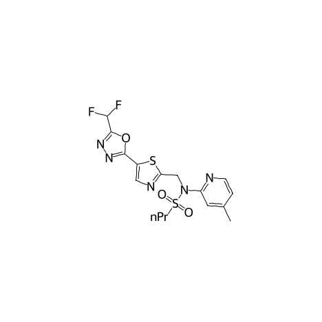 CCCS(=O)(=O)N(Cc1ncc(-c2nnc(C(F)F)o2)s1)c1cc(C)ccn1